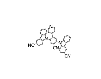 N#Cc1ccc2c(c1)c1ccccc1n2-c1cc(-c2ccncc2)c(-n2c3ccccc3c3cc(C#N)ccc32)cc1C#N